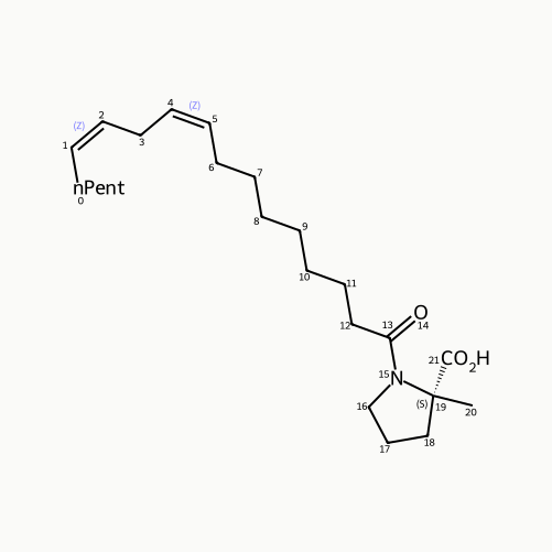 CCCCC/C=C\C/C=C\CCCCCCCC(=O)N1CCC[C@@]1(C)C(=O)O